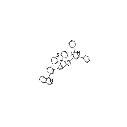 C1=C2Sc3ccccc3C3(C2=CCC1)c1cc(-c2cccc(-c4nccc5ccccc45)c2)ccc1-c1ccc(-c2cc(-c4ccccc4)nc(-c4ccccc4)n2)cc13